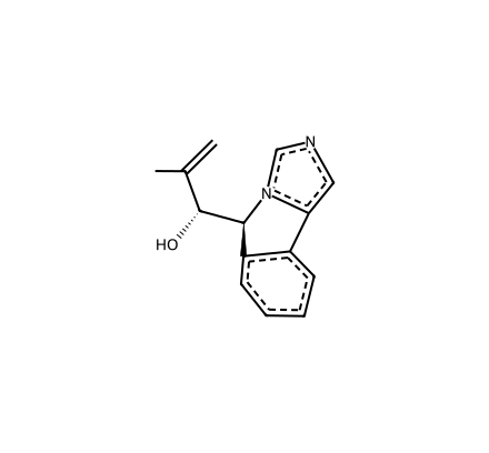 C=C(C)[C@@H](O)[C@@H]1c2ccccc2-c2cncn21